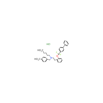 Cl.O=C(O)CCCCN(CCc1ccccc1OC(F)(F)c1ccc(-c2ccccc2)cc1)Cc1ccc(C(=O)O)cc1